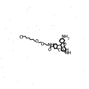 N=c1ccc2c(-c3ccc(C(=O)NCCOCCOCCCCCCCl)cc3C(=O)O)c3ccc(N)cc3oc-2c1